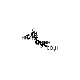 N[C@@H](CCC(=O)O)C(=O)Nc1cccc(-c2nn3c(N4CCNCC4)cc(=O)nc3s2)c1